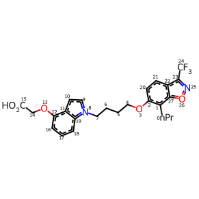 CCCc1c(OCCCCn2ccc3c(OCC(=O)O)cccc32)ccc2c(C(F)(F)F)noc12